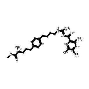 COC(=O)[C@H](N)CCCc1ccc(CCCCNC(N)=NC(=O)c2nc(Cl)c(N)nc2N)cc1